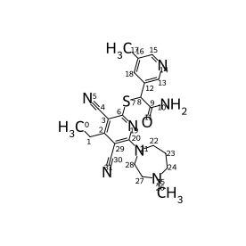 CCc1c(C#N)c(SC(C(N)=O)c2cncc(C)c2)nc(N2CCCN(C)CC2)c1C#N